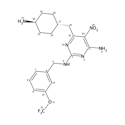 Nc1nc(NCc2cccc(OC(F)(F)F)c2)nc(C[C@H]2CC[C@H](N)CC2)c1[N+](=O)[O-]